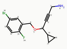 NCC#CC(OCc1cc(Br)ccc1F)C1CC1